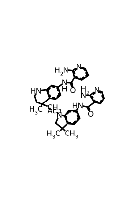 CC(=O)N1CC(C)(C)c2ccc(NC(=O)c3cccnc3N)cc21.CC1(C)CCNc2cc(NC(=O)c3cccnc3N)ccc21